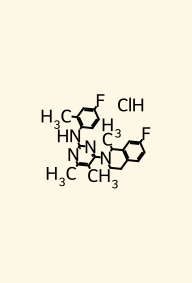 Cc1cc(F)ccc1Nc1nc(C)c(C)c(N2CCc3ccc(F)cc3C2C)n1.Cl